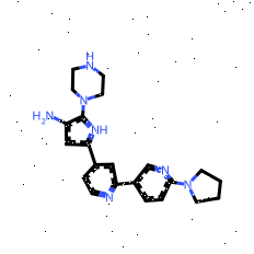 Nc1cc(-c2ccnc(-c3ccc(N4CCCC4)nc3)c2)[nH]c1N1CCNCC1